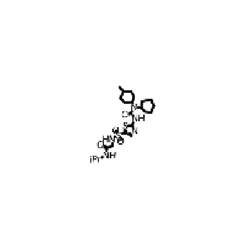 CC1CCC(N(C(=O)Nc2ncc(S(=O)(=O)NCC(=O)NC(C)C)s2)C2CCCCC2)CC1